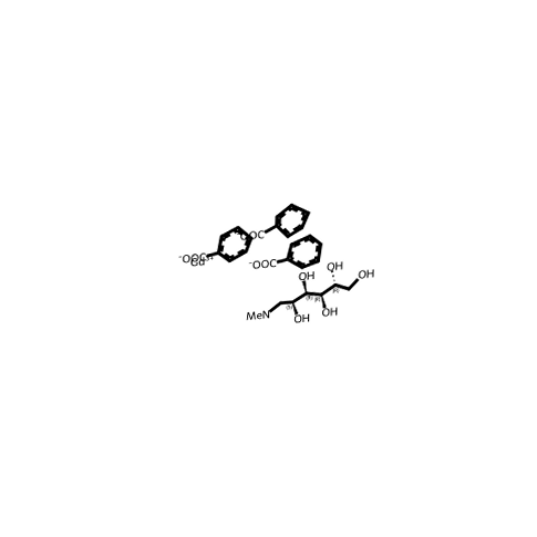 CNC[C@H](O)[C@@H](O)[C@H](O)[C@H](O)CO.O=C([O-])c1ccccc1.O=C([O-])c1ccccc1.O=C([O-])c1ccccc1.[Gd+3]